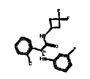 O=C(NC1CC(F)(F)C1)[C@H](Nc1cccc(F)c1)c1ccccc1Cl